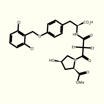 CCC(CC)(C(=O)N[C@@H](Cc1ccc(OCc2c(Cl)cccc2Cl)cc1)C(=O)O)C(=O)N1C[C@H](O)C[C@@H]1C(=O)OC